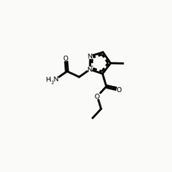 CCOC(=O)c1c(C)cnn1CC(N)=O